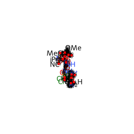 COc1ccc(C(OCC2OC(n3cc(/C=C/CNC(=O)CSc4c(Cl)c(Cl)c(C(=O)O)c(C5=c6cc7c8c(c6Oc6c5cc5c9c6CCCN9CCCC5)CCC[N+]=8CCCC7)c4Cl)c(=O)[nH]c3=O)CC2OP(OCCC#N)N(C(C)C)C(C)C)(c2ccccc2)c2ccc(OC)cc2)cc1